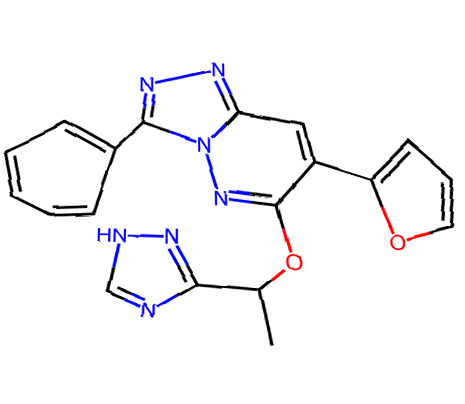 CC(Oc1nn2c(-c3ccccc3)nnc2cc1-c1ccco1)c1nc[nH]n1